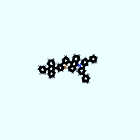 C1=CC2=C(c3ccc4sc5c(-c6c7ccccc7c(-n7c8ccc(-c9ccccc9)cc8c8cc(-c9ccccc9)ccc87)c7ccccc67)cccc5c4c3)c3ccccc3C(c3ccccc3)C2C=C1